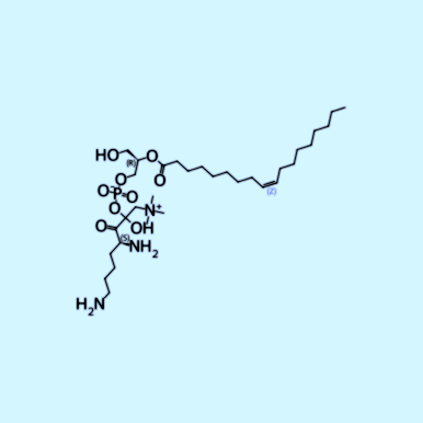 CCCCCCCC/C=C\CCCCCCCC(=O)O[C@H](CO)COP(=O)([O-])OC(O)(C[N+](C)(C)C)C(=O)[C@@H](N)CCCCN